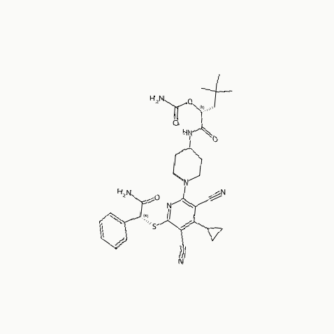 CC(C)(C)C[C@@H](OC(N)=O)C(=O)NC1CCN(c2nc(S[C@@H](C(N)=O)c3ccccc3)c(C#N)c(C3CC3)c2C#N)CC1